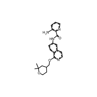 CC1(C)CC(COc2nccc3cc(NC(=O)c4ncccc4N)ccc23)CCO1